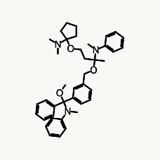 COC(c1ccccc1)(c1cccc(COC(C)(CCOC2(N(C)C)CCCC2)N(C)c2ccccc2)c1)N(C)c1ccccc1